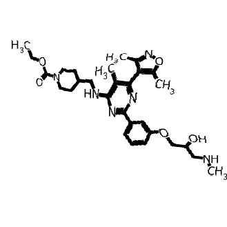 CCOC(=O)N1CCC(CNc2nc(-c3cccc(OCC(O)CNC)c3)nc(-c3c(C)noc3C)c2C)CC1